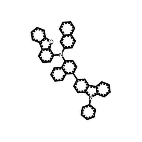 c1ccc(-n2c3ccccc3c3cc(-c4ccc(N(c5ccc6ccccc6c5)c5cccc6c5oc5ccccc56)c5ccccc45)ccc32)cc1